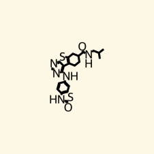 CC(C)CNC(=O)C1CCc2c(sc3ncnc(Nc4ccc5[nH]c(=O)sc5c4)c23)C1